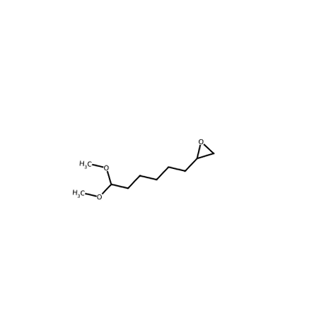 COC(CCCCCC1CO1)OC